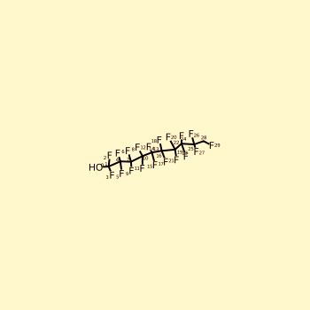 OC(F)(F)C(F)(F)C(F)(F)C(F)(F)C(F)(F)C(F)(F)C(F)(F)C(F)(F)C(F)(F)CF